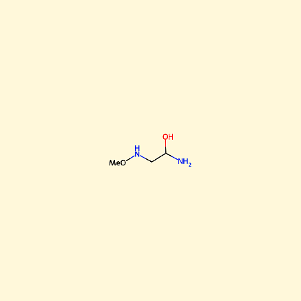 CONCC(N)O